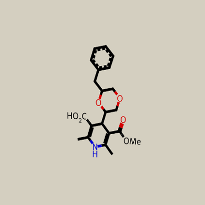 COC(=O)C1=C(C)NC(C)=C(C(=O)O)C1C1COCC(Cc2ccccc2)O1